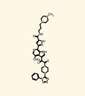 COc1cnc(-c2cc(C(=O)NCCCN3CCN(C)CC3)[nH]n2)c2[nH]cc(C(=O)C(=O)N3CCN(c4nnnn4-c4ccccc4)CC3)c12